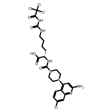 Nc1cc(N2CCN(C(=O)N[C@@H](CCCCNC(=O)NC(=O)C(Cl)(Cl)Cl)C(=O)O)CC2)c2ccc(Cl)cc2n1